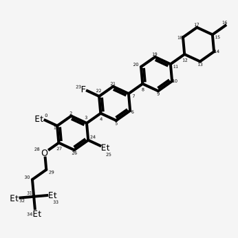 CCc1cc(-c2ccc(-c3ccc(C4CCC(C)CC4)cc3)cc2F)c(CC)cc1OCCC(CC)(CC)CC